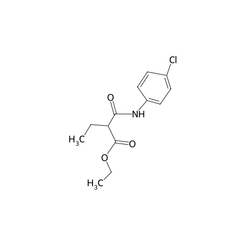 CCOC(=O)C(CC)C(=O)Nc1ccc(Cl)cc1